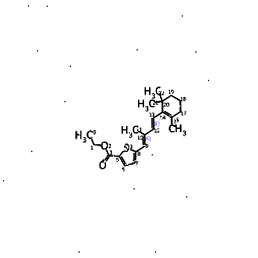 CCOC(=O)c1ccc(/C=C(C)/C=C/C2=C(C)CCCC2(C)C)s1